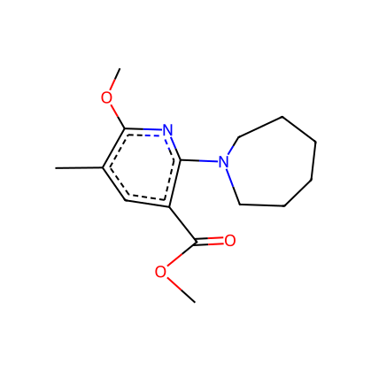 COC(=O)c1cc(C)c(OC)nc1N1CCCCCC1